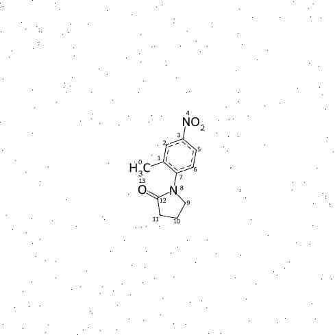 Cc1cc([N+](=O)[O-])ccc1N1CCCC1=O